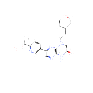 C[C@H](O)c1ccc(-c2cnc3c(n2)N(CCC2CCOCC2)CC(=O)N3)cn1